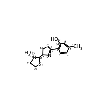 Cc1ccc(C2=NC(C3SCCN3C)CS2)c(O)c1